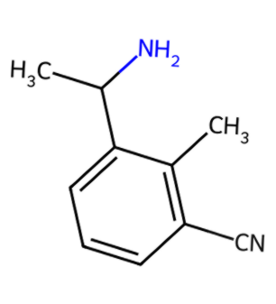 Cc1c(C#N)cccc1C(C)N